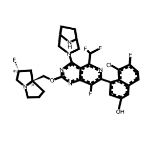 Oc1cc(-c2nc(C(F)F)c3c(N4CC5CCC(C4)N5)nc(OC[C@@]45CCCN4C[C@H](F)C5)nc3c2F)c2c(Cl)c(F)ccc2c1